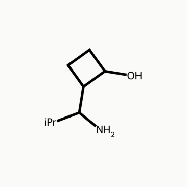 CC(C)C(N)C1CCC1O